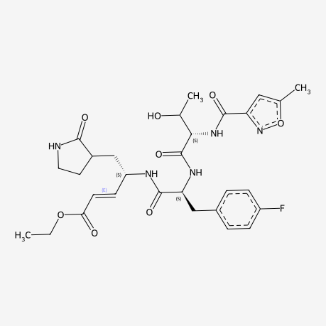 CCOC(=O)/C=C/[C@H](CC1CCNC1=O)NC(=O)[C@H](Cc1ccc(F)cc1)NC(=O)[C@@H](NC(=O)c1cc(C)on1)C(C)O